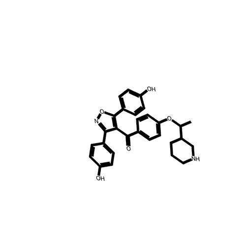 CC(Oc1ccc(C(=O)c2c(-c3ccc(O)cc3)noc2-c2ccc(O)cc2)cc1)C1CCCNC1